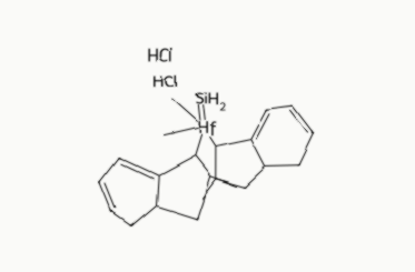 CC1CC2CC=CC=C2[CH]1[Hf]([CH3])([CH3])(=[SiH2])[CH]1C2=CC=CCC2CC1C.Cl.Cl